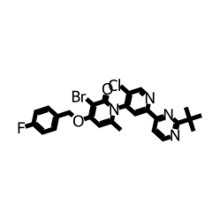 Cc1cc(OCc2ccc(F)cc2)c(Br)c(=O)n1-c1cc(-c2ccnc(C(C)(C)C)n2)ncc1Cl